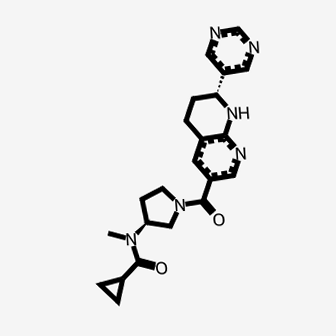 CN(C(=O)C1CC1)[C@H]1CCN(C(=O)c2cnc3c(c2)CC[C@H](c2cncnc2)N3)C1